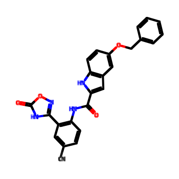 N#Cc1ccc(NC(=O)c2cc3cc(OCc4ccccc4)ccc3[nH]2)c(-c2noc(=O)[nH]2)c1